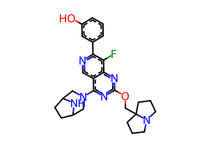 Oc1cccc(-c2ncc3c(N4CC5CCC(C4)N5)nc(OCC45CCCN4CCC5)nc3c2F)c1